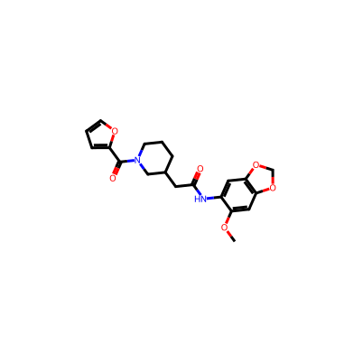 COc1cc2c(cc1NC(=O)CC1CCCN(C(=O)c3ccco3)C1)OCO2